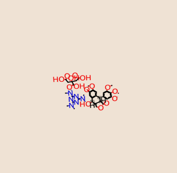 CN(C)c1nc(N(C)C)nc(N(C)C)n1.COc1cc([C@@H]2c3cc4c(cc3[C@H](O)[C@H]3COC(=O)[C@H]23)OCO4)cc(OC)c1OC.O=C(O)CC(O)(CC(=O)O)C(=O)O